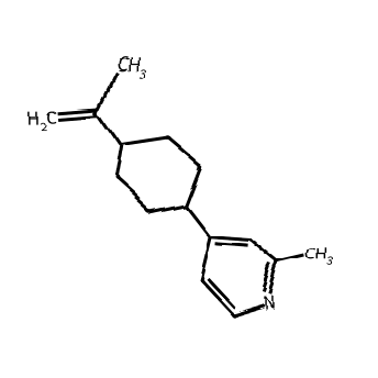 C=C(C)C1CCC(c2ccnc(C)c2)CC1